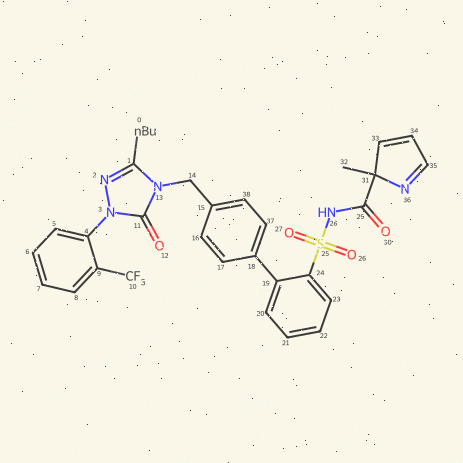 CCCCc1nn(-c2ccccc2C(F)(F)F)c(=O)n1Cc1ccc(-c2ccccc2S(=O)(=O)NC(=O)C2(C)C=CC=N2)cc1